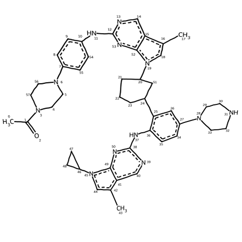 CC(=O)N1CCN(c2ccc(Nc3ncc4c(C)cn(C5CCCC(c6cc(N7CCNCC7)ccc6Nc6ncc7c(C)cn(C8CC8)c7n6)C5)c4n3)cc2)CC1